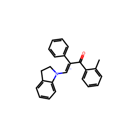 Cc1ccccc1C(=O)/C(=C/N1CCc2ccccc21)c1ccccc1